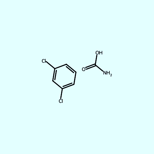 Clc1cccc(Cl)c1.NC(=O)O